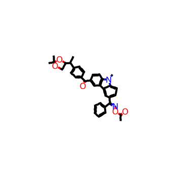 CC(=O)O/N=C(\c1ccccc1)c1ccc2c(c1)c1cc(C(=O)c3ccc(C(C)C4COC(C)(C)O4)cc3)ccc1n2C